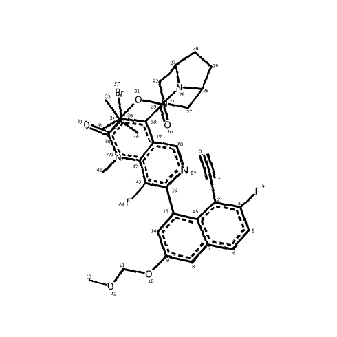 C#Cc1c(F)ccc2cc(OCOC)cc(-c3ncc4c(N5CC6CCC(C5)N6C(=O)OC(C)(C)C)c(Br)c(=O)n(C)c4c3F)c12